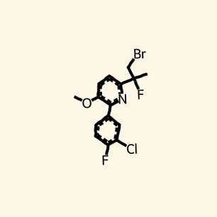 COc1ccc(C(C)(F)CBr)nc1-c1ccc(F)c(Cl)c1